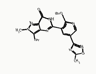 CCCc1c2nc(-c3cc(-c4noc(C)n4)cnc3OCC(C)C)[nH]c(=O)c2nn1C